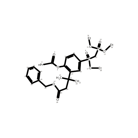 CCCC(=O)Oc1ccc(P(=O)(CP(=O)(OCC)OCC)OCC)cc1C(C)(C)CC(=O)OCc1ccccc1